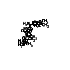 CC1(C)S[C@@H]2C(NC(=O)C(N)c3ccc(O[Si](C)(C)C)cc3)C(=O)N2[C@H]1C(=O)O[Si](C)(C)C